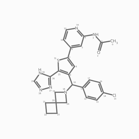 CC(=O)Nc1cc(-c2cc(C(c3ccc(Cl)cc3)N3CC4(CCC4)C3)c(-c3nnc[nH]3)s2)ccn1